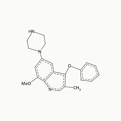 COc1cc(N2CCNCC2)cc2c(Oc3ccccc3)c(C)cnc12